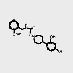 COc1ccccc1CNC(=O)ON1CCC(c2ccc(O)cc2O)CC1